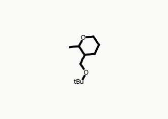 CC1OCCCC1COC(C)(C)C